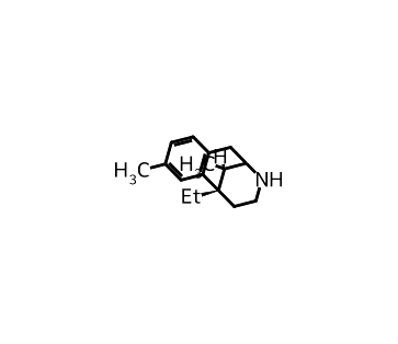 CC[C@@]12CCNC(Cc3ccc(C)cc31)[C@@H]2C